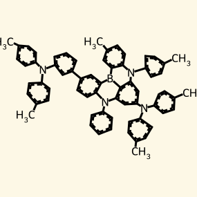 Cc1ccc(N(c2ccc(C)cc2)c2cccc(-c3ccc4c(c3)B3c5cc(C)ccc5N(c5ccc(C)cc5)c5cc(N(c6ccc(C)cc6)c6ccc(C)cc6)cc(c53)N4c3ccccc3)c2)cc1